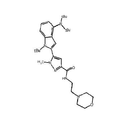 Cn1nc(C(=O)NCCN2CCOCC2)cc1-c1cc2c(N(C(C)(C)C)C(C)(C)C)cccc2n1C(C)(C)C